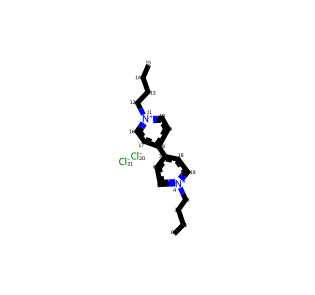 CCCC[n+]1ccc(-c2cc[n+](CCCC)cc2)cc1.[Cl-].[Cl-]